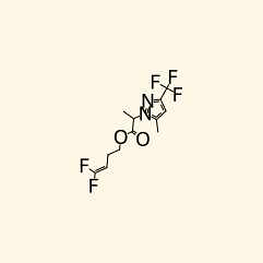 Cc1cc(C(F)(F)F)nn1C(C)C(=O)OCCC=C(F)F